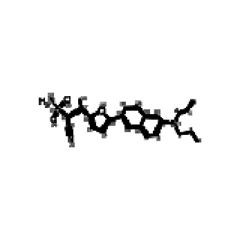 CCCN(CCC)c1ccc2cc(-c3ccc(/C(C)=C(\C#N)S(N)(=O)=O)o3)ccc2c1